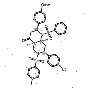 CCc1ccc([C@@H]2C[C@H]3[C@@H](CN2S(=O)(=O)c2ccc(C)cc2)C(=O)C[C@@H](c2ccc(OC)cc2)N3S(=O)(=O)c2ccccc2)cc1